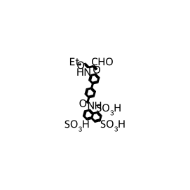 CCO/C=C(\Nc1cccc(-c2ccc(C(=O)Nc3ccc(S(=O)(=O)O)c4cc(S(=O)(=O)O)cc(S(=O)(=O)O)c34)cc2)c1)C(=O)C=O